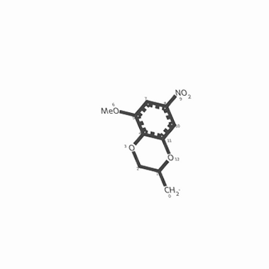 [CH2]C1COc2c(OC)cc([N+](=O)[O-])cc2O1